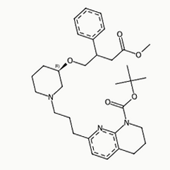 COC(=O)CC(CO[C@@H]1CCCN(CCCc2ccc3c(n2)N(C(=O)OC(C)(C)C)CCC3)C1)c1ccccc1